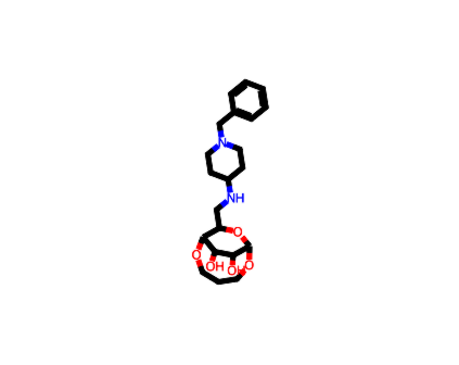 OC1C2OCCCOC(C(CNC3CCN(Cc4ccccc4)CC3)O2)C1O